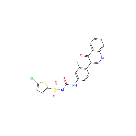 O=C(Nc1ccc(-c2c[nH]c3ccccc3c2=O)c(Cl)c1)NS(=O)(=O)c1ccc(Cl)s1